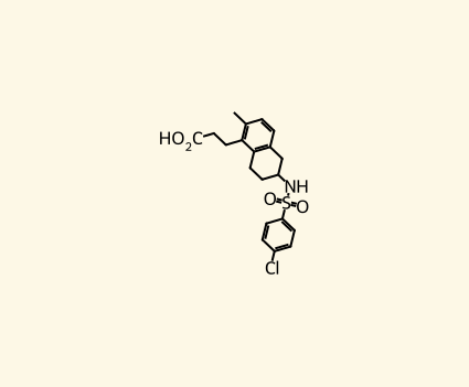 Cc1ccc2c(c1CCC(=O)O)CCC(NS(=O)(=O)c1ccc(Cl)cc1)C2